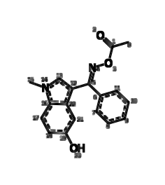 CC(=O)O/N=C(\c1ccccc1)c1cn(C)c2ccc(O)cc12